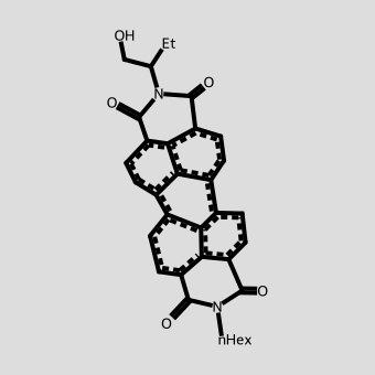 CCCCCCN1C(=O)c2ccc3c4ccc5c6c(ccc(c7ccc(c2c37)C1=O)c64)C(=O)N(C(CC)CO)C5=O